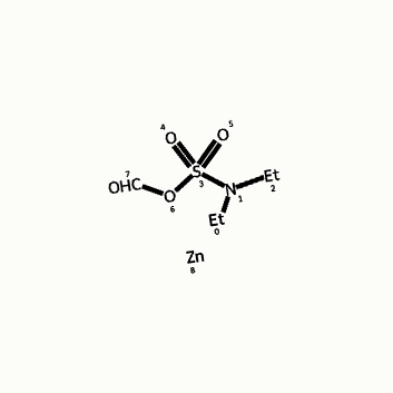 CCN(CC)S(=O)(=O)OC=O.[Zn]